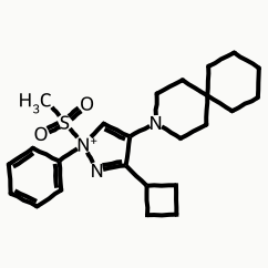 CS(=O)(=O)[N+]1(c2ccccc2)C=C(N2CCC3(CCCCC3)CC2)C(C2CCC2)=N1